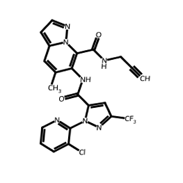 C#CCNC(=O)c1c(NC(=O)c2cc(C(F)(F)F)nn2-c2ncccc2Cl)c(C)cc2ccnn12